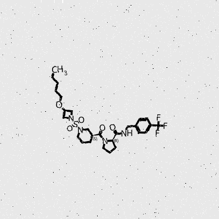 CCCCCOC1CN(S(=O)(=O)N2CCC[C@H](C(=O)N3CCC[C@@H]3C(=O)NCc3ccc(C(F)(F)F)cc3)C2)C1